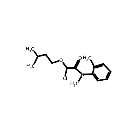 Cc1ccccc1N(C)C(=O)C(Cl)OCCC(C)C